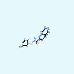 O=C(NCc1cccc(Cl)c1)c1ccc2cnccc2n1